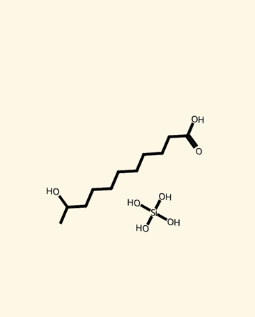 CC(O)CCCCCCCCC(=O)O.O[Si](O)(O)O